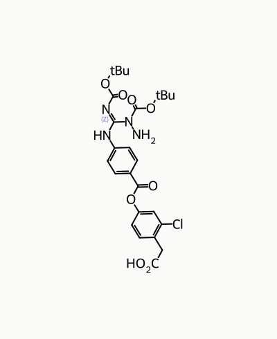 CC(C)(C)OC(=O)/N=C(/Nc1ccc(C(=O)Oc2ccc(CC(=O)O)c(Cl)c2)cc1)N(N)C(=O)OC(C)(C)C